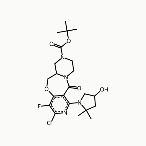 CC(C)(C)OC(=O)N1CCN2C(=O)c3c(N4CC(O)CC4(C)C)nc(Cl)c(F)c3OCC2C1